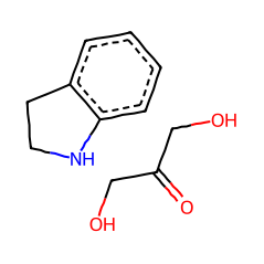 O=C(CO)CO.c1ccc2c(c1)CCN2